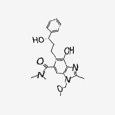 COCn1c(C)nc2c(O)c(CCC(O)c3ccccc3)c(C(=O)N(C)C)cc21